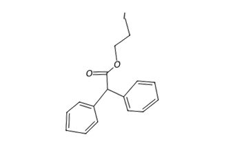 O=C(OCCI)C(c1ccccc1)c1ccccc1